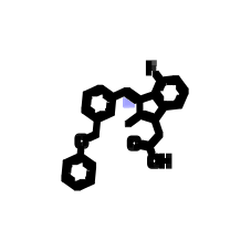 CC1=C(CC(=O)O)c2cccc(F)c2/C1=C/c1cccc(COc2ccccc2)c1